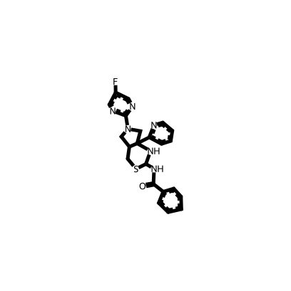 O=C(NC1NC2(c3ccccn3)CN(c3ncc(F)cn3)CC2CS1)c1ccccc1